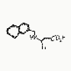 CCC(CC(=O)O)NCc1ccc2ccccc2c1